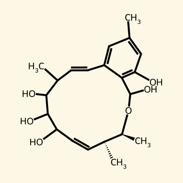 Cc1cc(O)c2c(c1)/C=C/C(C)C(O)C(O)C(O)/C=C\[C@@H](C)[C@H](C)OC2O